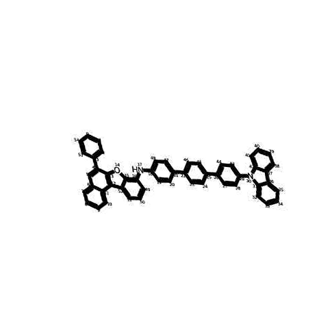 c1ccc(-c2cc3ccccc3c3c2oc2c(Nc4ccc(-c5ccc(-c6ccc(-n7c8ccccc8c8ccccc87)cc6)cc5)cc4)cccc23)cc1